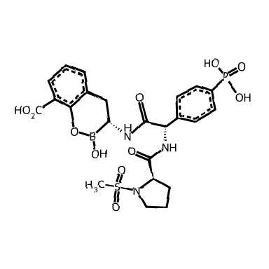 CS(=O)(=O)N1CCC[C@@H]1C(=O)N[C@H](C(=O)N[C@H]1Cc2cccc(C(=O)O)c2OB1O)c1ccc(P(=O)(O)O)cc1